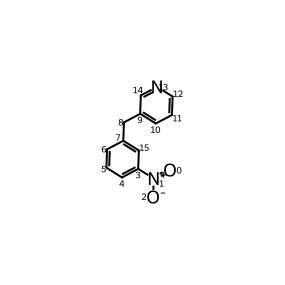 O=[N+]([O-])c1cccc(Cc2cccnc2)c1